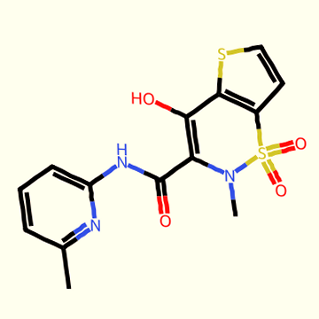 Cc1cccc(NC(=O)C2=C(O)c3sccc3S(=O)(=O)N2C)n1